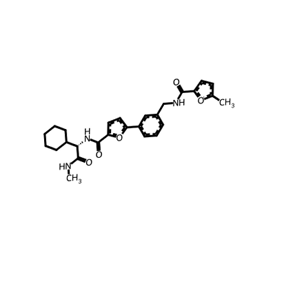 CNC(=O)[C@@H](NC(=O)c1ccc(-c2cccc(CNC(=O)c3ccc(C)o3)c2)o1)C1CCCCC1